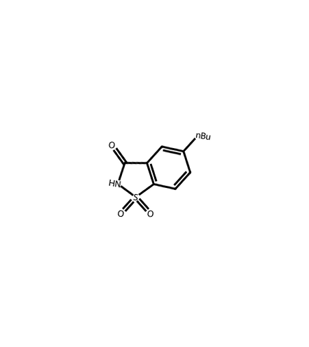 CCCCc1ccc2c(c1)C(=O)NS2(=O)=O